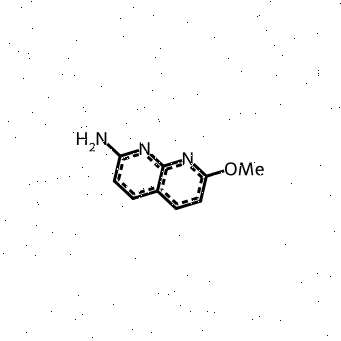 COc1ccc2ccc(N)nc2n1